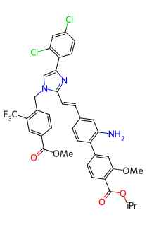 COC(=O)c1ccc(Cn2cc(-c3ccc(Cl)cc3Cl)nc2C=Cc2ccc(-c3ccc(C(=O)OC(C)C)c(OC)c3)c(N)c2)c(C(F)(F)F)c1